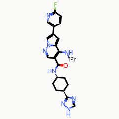 CC(C)Nc1c(C(=O)N[C@H]2CC[C@H](c3nc[nH]n3)CC2)cnn2cc(-c3ccc(F)nc3)cc12